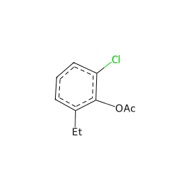 CCc1cccc(Cl)c1OC(C)=O